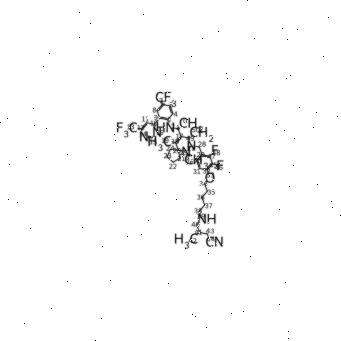 C=C(Nc1ccc(C(F)(F)F)cc1-c1cc(C(F)(F)F)ncn1)C1=C(C)C2(CCCC2)N(C)N(Cc2ccc(OCCCCCNCC(C)CC#N)c(F)c2F)C1=C